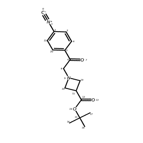 [C-]#[N+]c1ccc(C(=O)CN2CC(C(=O)OC(C)(C)C)C2)cc1